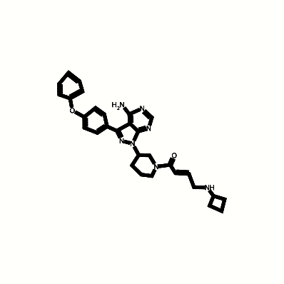 Nc1ncnc2c1c(-c1ccc(Oc3ccccc3)cc1)nn2C1CCCN(C(=O)/C=C/CNC2CCC2)C1